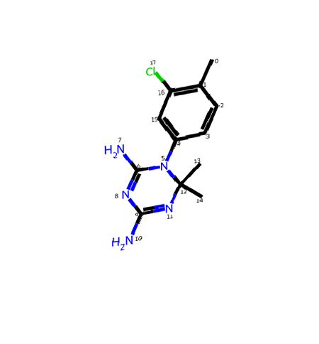 Cc1ccc(N2C(N)=NC(N)=NC2(C)C)cc1Cl